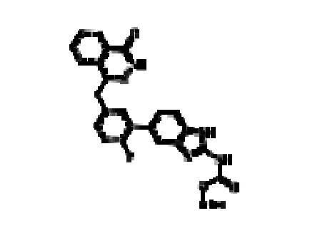 CCCCCCOC(=O)Nc1nc2cc(-c3cc(Cc4n[nH]c(=O)c5ccccc45)ccc3F)ccc2[nH]1